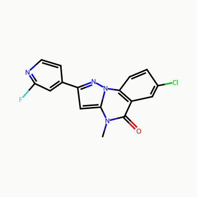 Cn1c(=O)c2cc(Cl)ccc2n2nc(-c3ccnc(F)c3)cc12